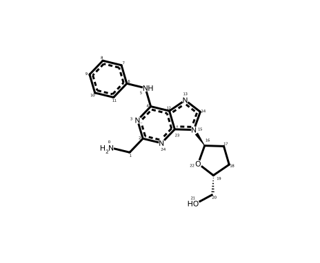 NCc1nc(Nc2ccccc2)c2ncn([C@H]3CC[C@H](CO)O3)c2n1